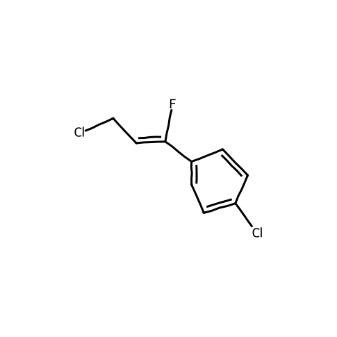 F/C(=C\CCl)c1ccc(Cl)cc1